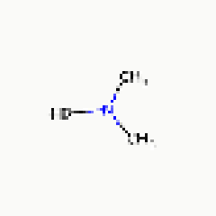 [BH]N(C)C